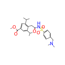 COC(=O)c1cc(C(C)C)c(CC(=O)NS(=O)(=O)c2ccc(CN(C)C)cc2)c(C(C)C)c1